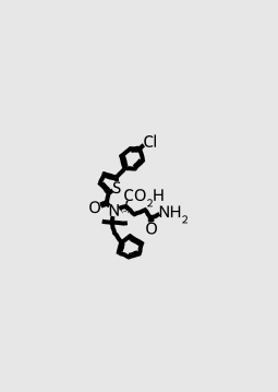 CC(C)(Cc1ccccc1)N(C(=O)c1ccc(-c2ccc(Cl)cc2)s1)[C@@H](CCC(N)=O)C(=O)O